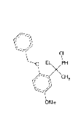 CCC(C)(PCl)c1cc(OC)ccc1OCc1ccccc1